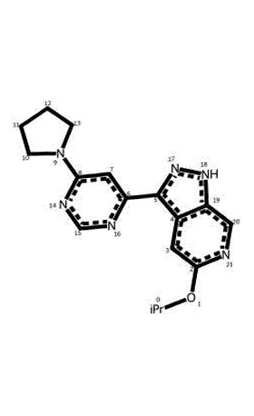 CC(C)Oc1cc2c(-c3cc(N4CCCC4)ncn3)n[nH]c2cn1